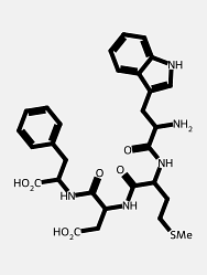 CSCCC(NC(=O)C(N)Cc1c[nH]c2ccccc12)C(=O)NC(CC(=O)O)C(=O)NC(Cc1ccccc1)C(=O)O